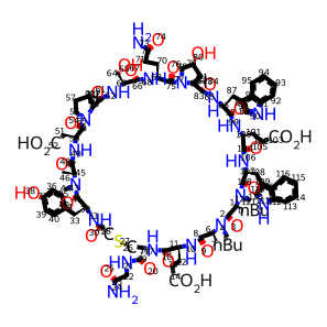 CCCC[C@H]1C(=O)N(C)[C@@H](CCCC)C(=O)N[C@@H](CCC(=O)O)C(=O)N[C@H](C(=O)NCC(N)=O)CSCC(=O)N[C@@H](Cc2ccc(O)cc2)C(=O)N(C)[C@@H](C)C(=O)N[C@@H](CC(=O)O)C(=O)N2CCC[C@H]2C(=O)N[C@@H](CO)C(=O)N[C@@H](CCC(N)=O)C(=O)N2C[C@H](O)C[C@H]2C(=O)N[C@@H](Cc2c[nH]c3ccccc23)C(=O)N[C@@H](CCC(=O)O)C(=O)N[C@@H](Cc2c[nH]c3ccccc23)C(=O)N1C